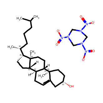 CC(C)CCC[C@@H](C)[C@H]1CC[C@H]2[C@@H]3CC=C4C[C@@H](O)CC[C@]4(C)[C@H]3CC[C@]12C.O=[N+]([O-])N1CN([N+](=O)[O-])CN([N+](=O)[O-])C1